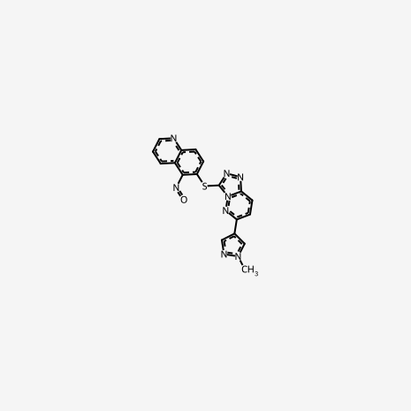 Cn1cc(-c2ccc3nnc(Sc4ccc5ncccc5c4N=O)n3n2)cn1